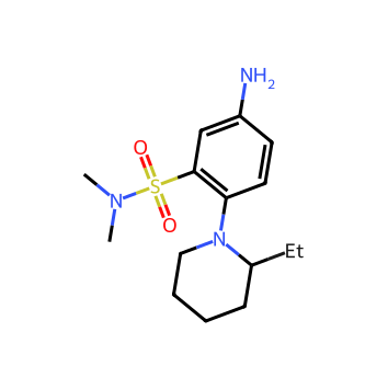 CCC1CCCCN1c1ccc(N)cc1S(=O)(=O)N(C)C